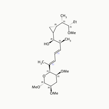 CC[C@H](OC)[C@@H](C)[C@H]1CC1[C@H](O)[C@@H](C)/C=C/C=C(\C)[C@@H]1O[C@@H](OC)[C@H](OC)C[C@@H]1OC